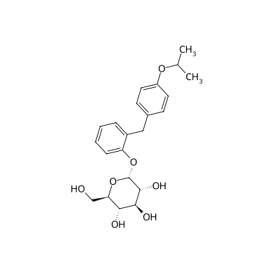 CC(C)Oc1ccc(Cc2ccccc2O[C@H]2O[C@H](CO)[C@@H](O)[C@H](O)[C@H]2O)cc1